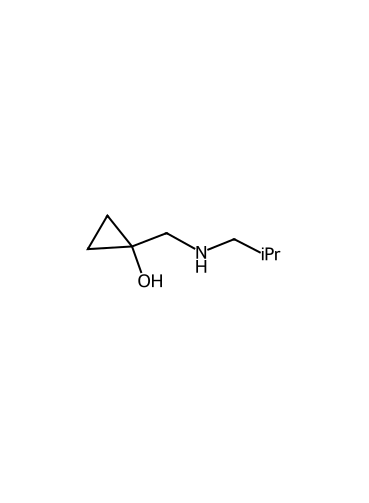 CC(C)CNCC1(O)CC1